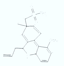 C=CCC1OC2C=CC=C(OC)C2=C2C=CC(C)(CS(N)(=O)=O)C=C21